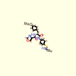 COc1ccc(C[C@H](NC(=O)c2cocn2)C(=O)Nc2ccc(SNC(C)(C)C)cc2)cc1